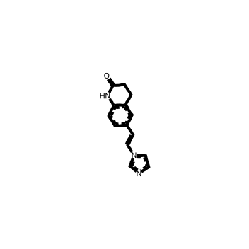 O=C1CCc2cc(C=Cn3ccnc3)ccc2N1